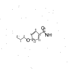 CCCOc1ccc(C([NH])=O)cc1